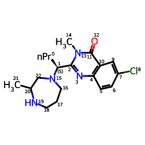 CCC[C@@H](c1nc2ccc(Cl)cc2c(=O)n1C)N1CCCNC(C)C1